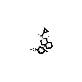 Cc1ccc(O)cc1[C@@]12CCCCC1[C@@H](C)N([C@H](C)C1CC1)CC2